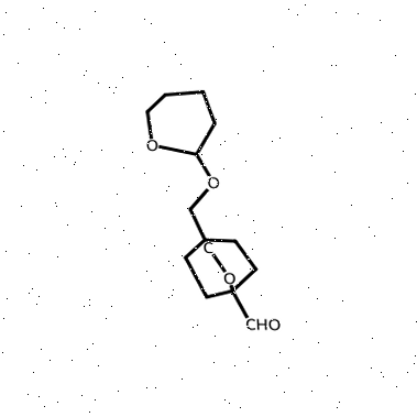 O=CC12CCC(COC3CCCCO3)(CC1)CO2